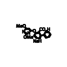 COc1cc(Oc2cccc(-c3ccccc3)c2C(=O)O)nc(OC)n1.[NaH]